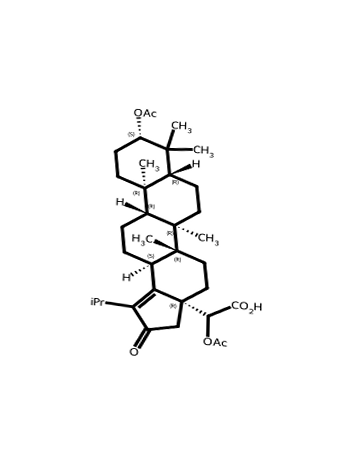 CC(=O)OC(C(=O)O)[C@@]12CC[C@]3(C)[C@H](CC[C@@H]4[C@@]5(C)CC[C@H](OC(C)=O)C(C)(C)[C@@H]5CC[C@]43C)C1=C(C(C)C)C(=O)C2